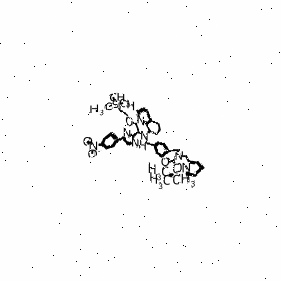 CC(C)(C)OC(=O)N(Cc1ccc(CN(C(COCC[Si](C)(C)C)c2nc(-c3ccc([N+](=O)[O-])cc3)c[nH]2)C2CCCc3cccnc32)cc1)Cc1ccccn1